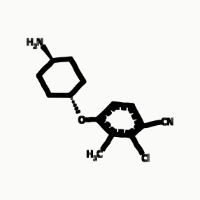 Cc1c(O[C@H]2CC[C@H](N)CC2)ccc(C#N)c1Cl